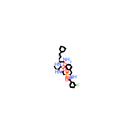 CC[C@H](NC(=O)CP(=O)(O)C(Cc1ccccc1)NC(=O)c1cccc(F)c1)C(=O)N[C@@H](C/C=C/c1ccccc1)C(N)=O